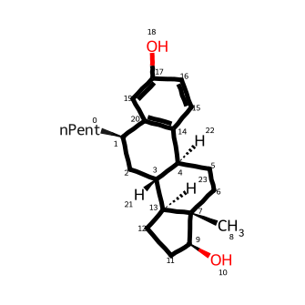 CCCCC[C@@H]1C[C@@H]2[C@H](CC[C@]3(C)[C@@H](O)CC[C@@H]23)c2ccc(O)cc21